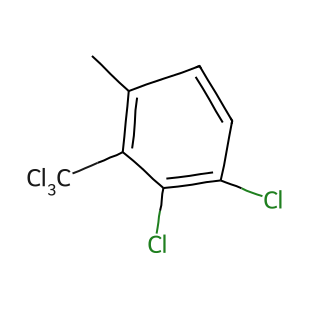 Cc1ccc(Cl)c(Cl)c1C(Cl)(Cl)Cl